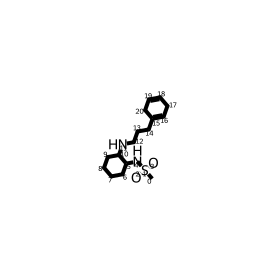 CS(=O)(=O)NC1CCCCC1NCCCC1=CCC=CC1